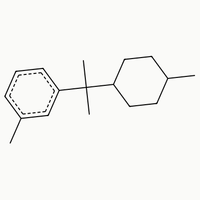 Cc1cccc(C(C)(C)C2CCC(C)CC2)c1